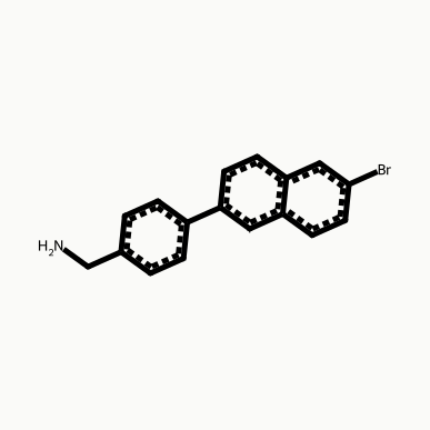 NCc1ccc(-c2[c]c3ccc(Br)cc3cc2)cc1